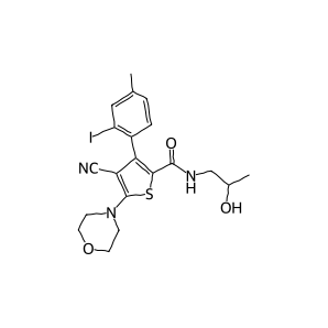 Cc1ccc(-c2c(C(=O)NCC(C)O)sc(N3CCOCC3)c2C#N)c(I)c1